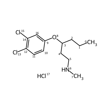 CCCC(CCNC)Oc1ccc(Cl)c(Cl)c1.Cl